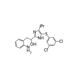 CC(C)c1nc(C(O)Cc2ccccc2N)[nH]c1Sc1cc(Cl)cc(Cl)c1